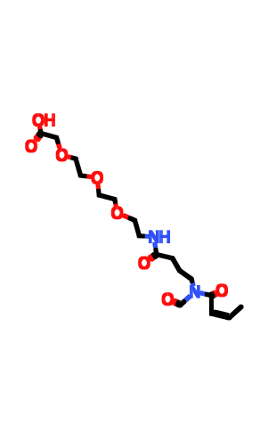 C/C=C\C(=O)N(C=O)CCCC(=O)NCCOCCOCCOCC(=O)O